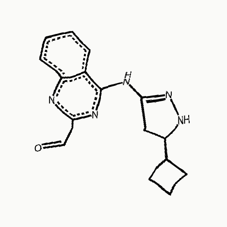 O=Cc1nc(NC2=NNC(C3CCC3)C2)c2ccccc2n1